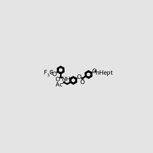 CCCCCCCOc1ccc(C(=O)Oc2ccc(C[C@H](NC(=O)c3ccccc3OC(F)(F)F)C(C)=O)cc2)cc1